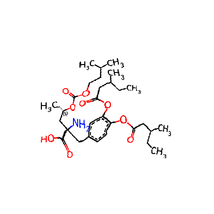 CCC(C)CC(=O)Oc1ccc(CC(N)(C[C@H](C)OC(=O)OCCC(C)C)C(=O)O)cc1OC(=O)CC(C)CC